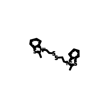 Cc1sc2ccccc2[n+]1CCSSCC[n+]1c(C)sc2ccccc21